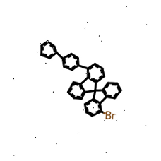 Brc1cccc2c1-c1ccccc1C21c2ccccc2-c2c(-c3ccc(-c4ccccc4)cc3)cccc21